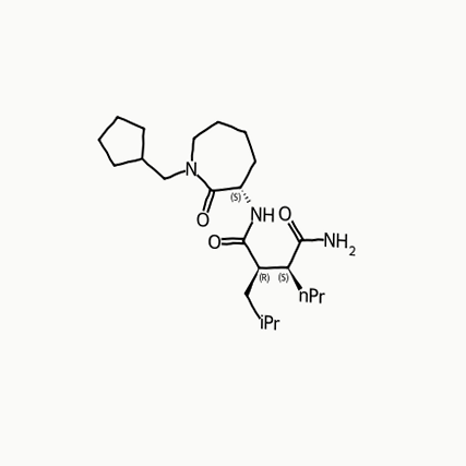 CCC[C@H](C(N)=O)[C@@H](CC(C)C)C(=O)N[C@H]1CCCCN(CC2CCCC2)C1=O